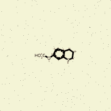 O=C(O)Oc1ccc2c(c1)SCCC2